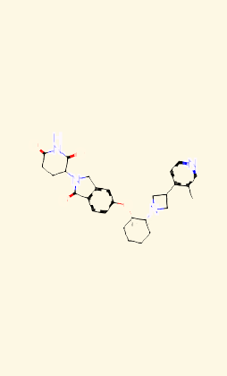 Cc1cnccc1C1CN([C@H]2CCCC[C@H]2Oc2ccc3c(c2)CN(C2CCC(=O)NC2=O)C3=O)C1